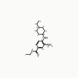 CCOC(=O)c1ccc(NC2CCN(CC)CC2)c(N)c1